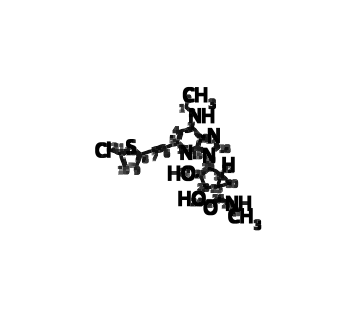 CCNc1cc(C#Cc2ccc(Cl)s2)nc2c1ncn2[C@H]1C(O)C(O)[C@]2(C(=O)NC)C[C@H]12